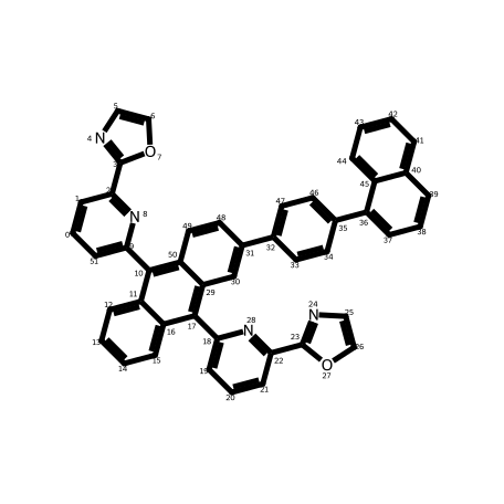 c1cc(-c2ncco2)nc(-c2c3ccccc3c(-c3cccc(-c4ncco4)n3)c3cc(-c4ccc(-c5cccc6ccccc56)cc4)ccc23)c1